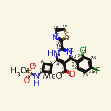 COC(=O)C1=C([C@H]2C[C@H](NS(C)(=O)=O)C2)NC(c2nccs2)=NC1c1ccc(F)cc1Cl